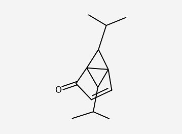 CC(C)C1C23C=CC(=O)C12C3C(C)C